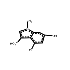 Cn1cc(C(=O)O)c2c(Cl)cc(O)cc21